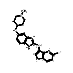 CN1CCC(Oc2ccc3[nH]c(Nc4c[nH]c5ccc(Cl)nc45)nc3c2)CC1